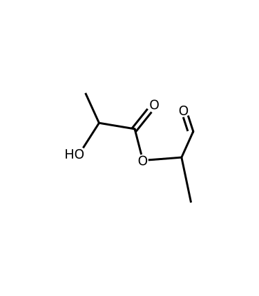 CC(C=O)OC(=O)C(C)O